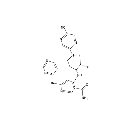 N#Cc1cnc(N2CC[C@@H](Nc3cc(Nc4ccncn4)ncc3C(N)=O)[C@@H](F)C2)cn1